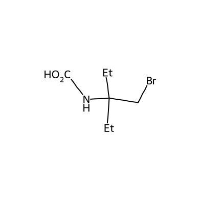 CCC(CC)(CBr)NC(=O)O